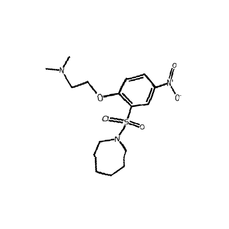 CN(C)CCOc1ccc([N+](=O)[O-])cc1S(=O)(=O)N1CCCCCC1